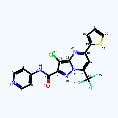 O=C(Nc1ccncc1)c1nn2c(C(F)(F)F)cc(-c3cccs3)nc2c1Cl